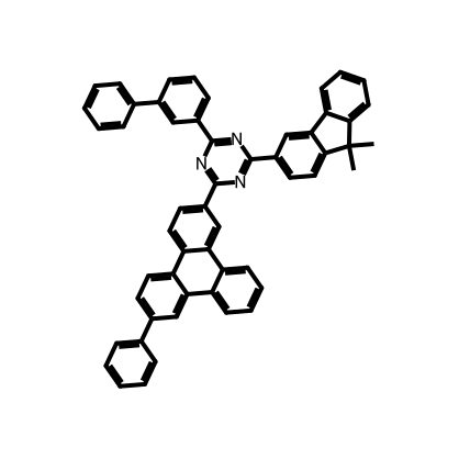 CC1(C)c2ccccc2-c2cc(-c3nc(-c4cccc(-c5ccccc5)c4)nc(-c4ccc5c6ccc(-c7ccccc7)cc6c6ccccc6c5c4)n3)ccc21